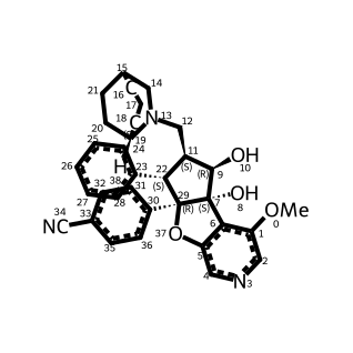 COc1cncc2c1[C@]1(O)[C@H](O)[C@H](CN3CC4CCC[C@H]3CC4)[C@@H](c3ccccc3)[C@]1(c1ccc(C#N)cc1)O2